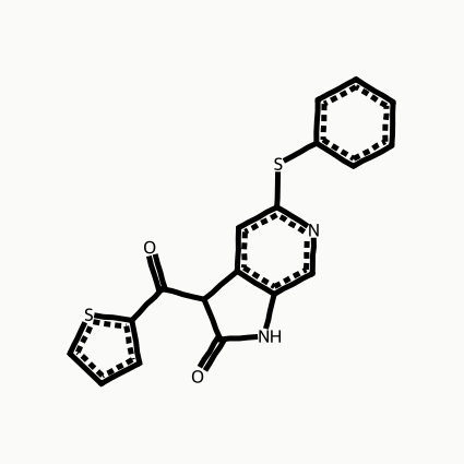 O=C1Nc2cnc(Sc3ccccc3)cc2C1C(=O)c1cccs1